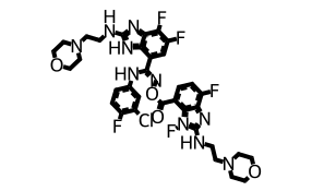 O=C(ON=C(Nc1ccc(F)c(Cl)c1)c1cc(F)c(F)c2nc(NCCN3CCOCC3)[nH]c12)c1ccc(F)c2nc(NCCN3CCOCC3)n(F)c12